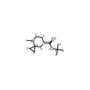 CN1CCN(C(=O)OC(C)(C)C)CC12CC2